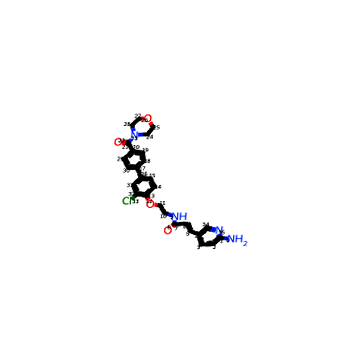 Nc1ccc(/C=C/C(=O)NCCOc2ccc(-c3ccc(C(=O)N4CCOCC4)cc3)cc2Cl)cn1